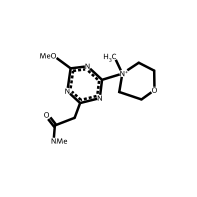 CNC(=O)Cc1nc(OC)nc([N+]2(C)CCOCC2)n1